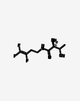 CC(O)[C@H](N)C(=O)NCCC(F)=C(F)F